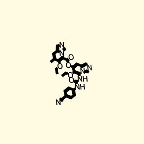 CCOc1c(OC(=O)c2c(OCC)c(C)cc3cncn23)cc2cncn2c1NC(=O)Nc1ccc(C#N)cc1